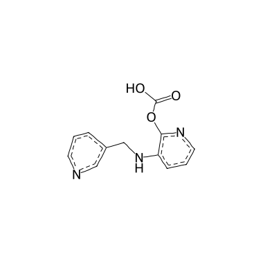 O=C(O)Oc1ncccc1NCc1cccnc1